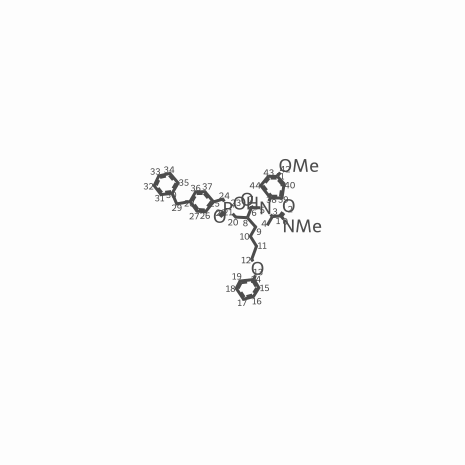 CNC(=O)C(C)N(C(=O)C(CCCCOc1ccccc1)CP(=O)(O)Cc1ccc(Cc2ccccc2)cc1)c1ccc(OC)cc1